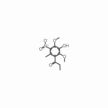 CCC(=O)c1c(C)c([N+](=O)[O-])c(OC)c(O)c1OC